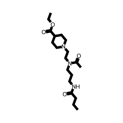 CCCC(=O)NCCCN(CCN1CCC(C(=O)OCC)CC1)C(C)=O